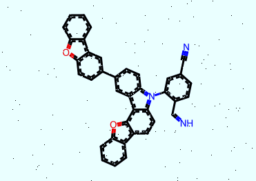 N#Cc1ccc(C=N)c(-n2c3ccc(-c4ccc5oc6ccccc6c5c4)cc3c3c4oc5ccccc5c4ccc32)c1